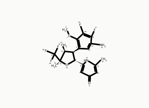 COc1c([C@H]2[C@H](c3cc(=O)cc(C)[nH]3)O[C@@](C)(C(F)(F)F)[C@H]2C)cc(N)c(F)c1F